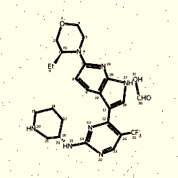 CC[C@H]1COCCN1c1ccc2c(-c3nc(N[C@H]4CCCNC4)ncc3C(F)(F)F)c[nH]c2n1.O=CO